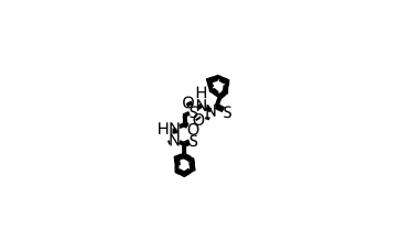 CN(NC(=O)CS(=O)(=O)NN(C)C(=S)c1ccccc1)C(=S)c1ccccc1